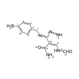 Bc1ccc(CN=C(N=N)/C(=C/NC=O)C(N)=O)cc1